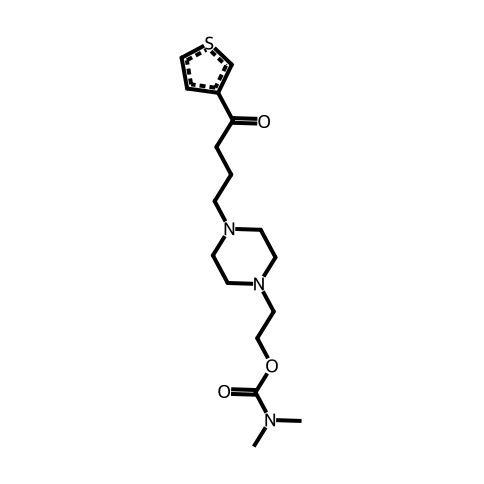 CN(C)C(=O)OCCN1CCN(CCCC(=O)c2ccsc2)CC1